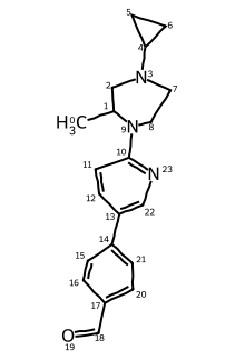 CC1CN(C2CC2)CCN1c1ccc(-c2ccc(C=O)cc2)cn1